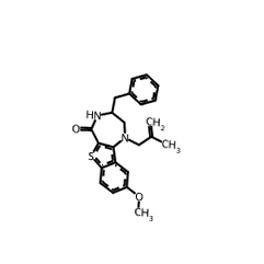 C=C(C)CN1CC(Cc2ccccc2)NC(=O)c2sc3ccc(OC)cc3c21